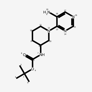 CC(C)(C)OC(=O)NC1CCCN(c2ncncc2N)C1